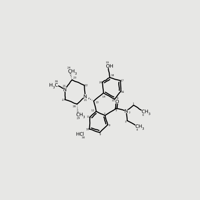 CCN(CC)C(=O)c1ccccc1[C@@H](c1cccc(O)c1)N1C[C@@H](C)N(C)C[C@H]1C.Cl